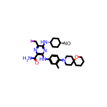 Cc1cc(Nc2nc(N[C@H]3CC[C@H](N=O)CC3)c(CI)nc2C(N)=O)ccc1N1CCC2(CCCCO2)CC1